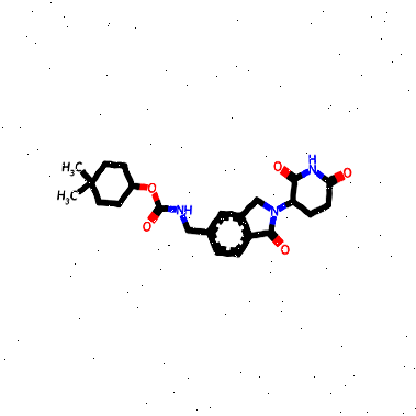 CC1(C)CCC(OC(=O)NCc2ccc3c(c2)CN(C2CCC(=O)NC2=O)C3=O)CC1